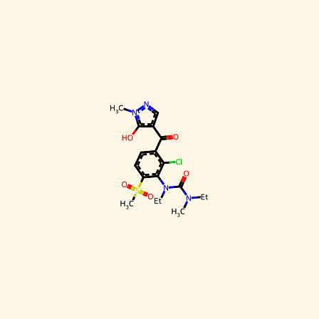 CCN(C)C(=O)N(CC)c1c(S(C)(=O)=O)ccc(C(=O)c2cnn(C)c2O)c1Cl